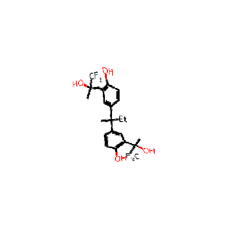 CCC(C)(c1ccc(O)c(C(C)(O)C(F)(F)F)c1)c1ccc(O)c(C(C)(O)C(F)(F)F)c1